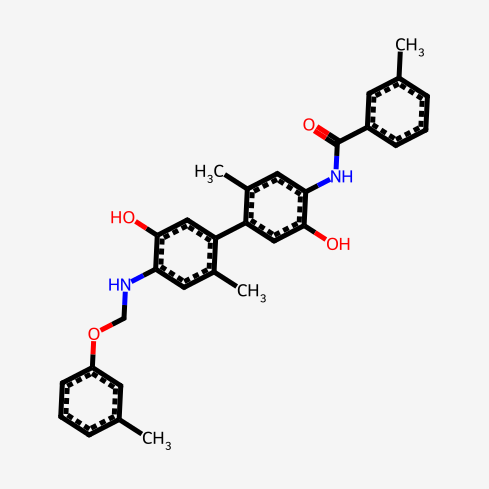 Cc1cccc(OCNc2cc(C)c(-c3cc(O)c(NC(=O)c4cccc(C)c4)cc3C)cc2O)c1